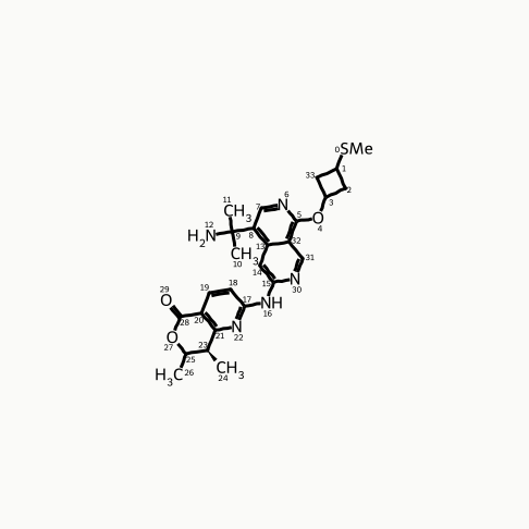 CSC1CC(Oc2ncc(C(C)(C)N)c3cc(Nc4ccc5c(n4)[C@@H](C)C(C)OC5=O)ncc23)C1